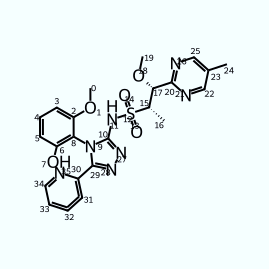 COc1cccc(O)c1-n1c(NS(=O)(=O)[C@@H](C)[C@H](OC)c2ncc(C)cn2)nnc1C1=C=C=CC=N1